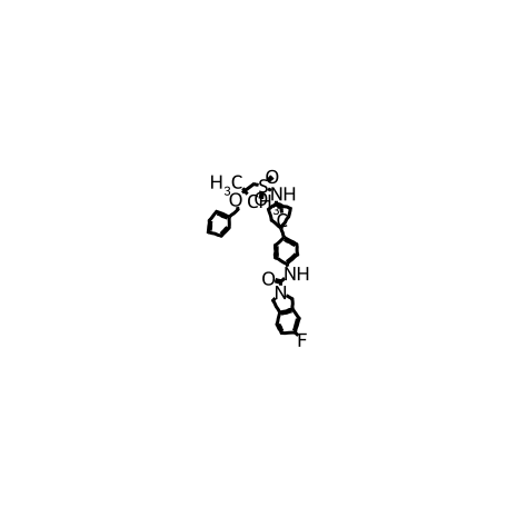 CC(C)(CS(=O)(=O)NC12CCC(c3ccc(NC(=O)N4Cc5ccc(F)cc5C4)cc3)(CC1)CC2)OCc1ccccc1